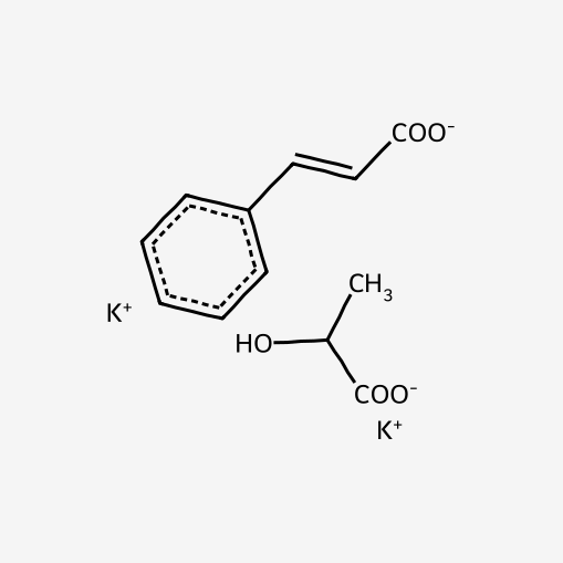 CC(O)C(=O)[O-].O=C([O-])C=Cc1ccccc1.[K+].[K+]